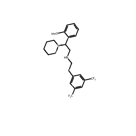 COc1ccccc1C(CNCCc1cc(C(F)(F)F)cc(C(F)(F)F)c1)N1CCCCC1